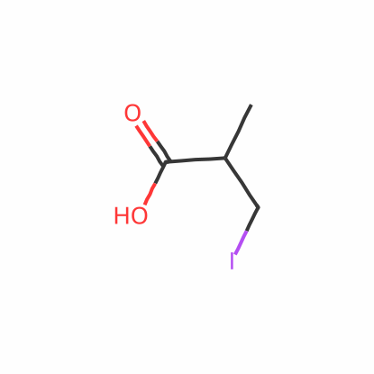 CC(CI)C(=O)O